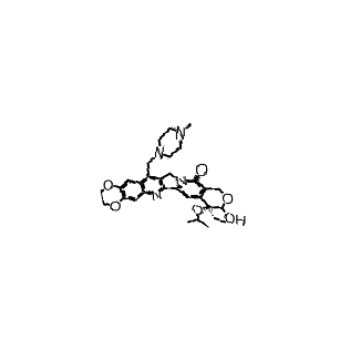 CC[C@]1(OC(C)C)c2cc3n(c(=O)c2COC1O)Cc1c-3nc2cc3c(cc2c1CN1CCN(C)CC1)OCCO3